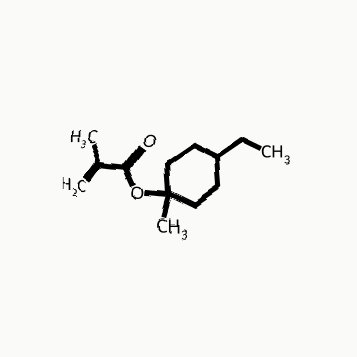 C=C(C)C(=O)OC1(C)CCC(CC)CC1